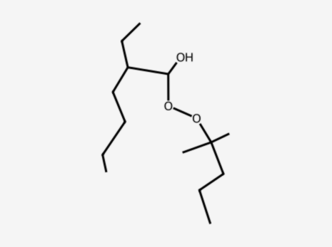 CCCCC(CC)C(O)OOC(C)(C)CCC